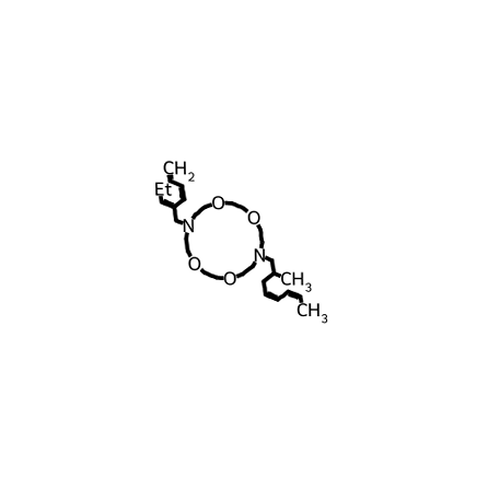 C=C/C=C\C(=C/CC)CN1CCOCCOCCN(CC(C)C/C=C\C=C/C)CCOCCOCC1